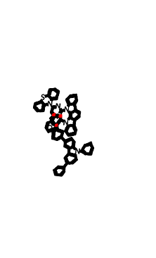 c1ccc(-c2ccc3c(c2)c2cc(-c4ccc5oc6cccc(-n7c8ccccc8c8ccc9c%10ccccc%10n(-c%10nc(-c%11ccccc%11)cc(N%11c%12ccccc%12Sc%12ccccc%12%11)n%10)c9c87)c6c5c4)ccc2n3-c2ccccc2)cc1